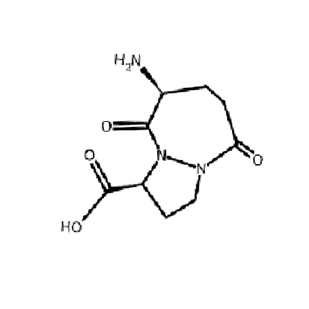 N[C@H]1CCC(=O)N2CC[C@@H](C(=O)O)N2C1=O